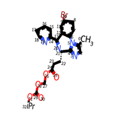 Cc1cnc2n1-c1ccc(Br)cc1C(c1ccccn1)=N[C@H]2CCC(=O)OCOC(=O)OC(C)C